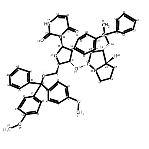 COc1ccc(C(OC[C@H]2O[C@@H](n3c(=O)cc[nH]c3=O)C[C@@H]2O[P@]2O[C@H](C[Si](C)(c3ccccc3)c3ccccc3)[C@@H]3CCCN32)(c2ccccc2)c2ccc(OC)cc2)cc1